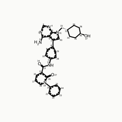 Nc1ncnc2c1c(-c1ccc(NC(=O)c3cccn(-c4ccccc4)c3=O)cc1)cn2C[C@H]1CC[C@H](O)CC1